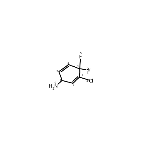 NC1C=CC(F)(Br)C(Cl)=C1